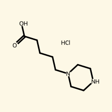 Cl.O=C(O)CCCCN1CCNCC1